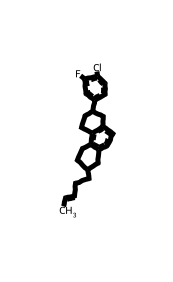 C/C=C/CCC1CCc2c(ccc3c2CCC(c2ccc(Cl)c(F)c2)C3)C1